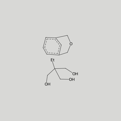 CCC(CO)(CO)CO.c1cc2cc(c1)COC2